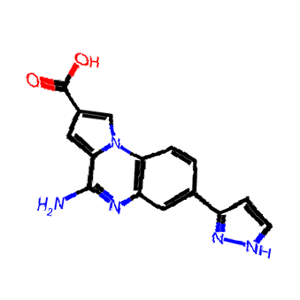 Nc1nc2cc(-c3cc[nH]n3)ccc2n2cc(C(=O)O)cc12